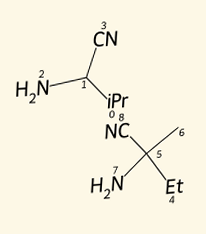 CC(C)C(N)C#N.CCC(C)(N)C#N